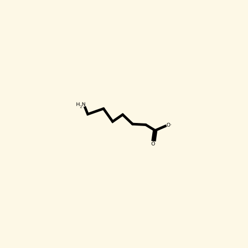 NCCCCCCC([O])=O